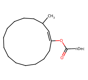 CCCCCCCCCCC(=O)OC1=CC(C)CCCCCCCCCCCC1